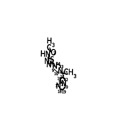 CC(=O)Nc1nnc(N2CCN([C@@H](C)c3cc4ncccn4c3)CC2)s1